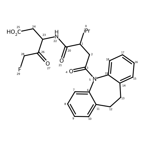 CC(C)C(CC(=O)N1c2ccccc2CCc2ccccc21)C(=O)NC(CC(=O)O)C(=O)CF